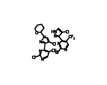 FC(F)(F)c1cnc(Cl)nc1-c1n[nH]cc1Cl.FC(F)(F)c1cnc(Cl)nc1-c1nn(C2CCCCO2)cc1Cl